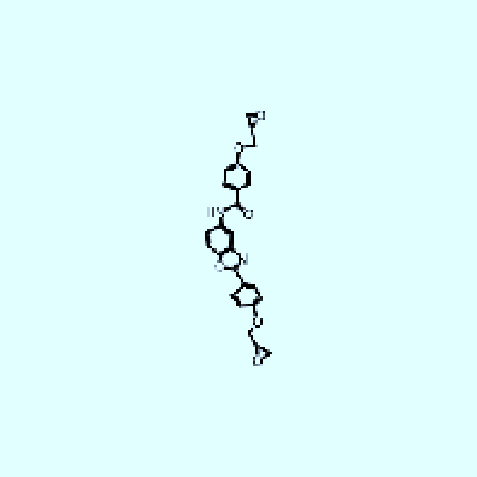 O=C(Nc1ccc2oc(-c3ccc(OCC4CO4)cc3)nc2c1)c1ccc(OCC2CO2)cc1